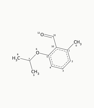 Cc1cccc(OC(C)C)c1C=O